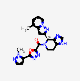 Cc1cccn2nc([C@H]3c4nc[nH]c4CCN3C(=O)c3nnc(-c4ccnn4C)o3)cc12